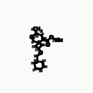 C[C@H]1CN(C(=O)OC(C)(C)C)C2(CO1)CC(OCc1ccccc1)C2